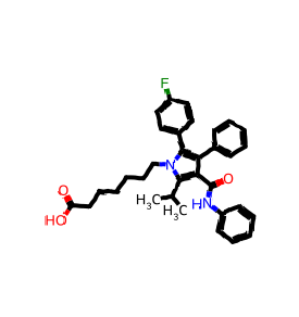 CC(C)c1c(C(=O)Nc2ccccc2)c(-c2ccccc2)c(-c2ccc(F)cc2)n1CCCCCCC(=O)O